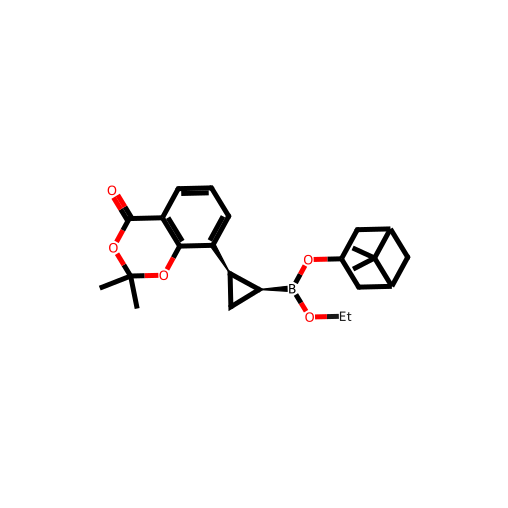 CCOB(OC1CC2CC(C1)C2(C)C)[C@H]1C[C@H]1c1cccc2c1OC(C)(C)OC2=O